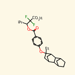 CCC1(Oc2ccc(C(=O)OC(C(C)C)C(F)(F)C(=O)O)cc2)CC2CC1C1C3CCC(C3)C21